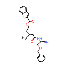 CC(CCOC(=O)c1cc2ccccc2s1)CC(=O)NC(C#N)COCc1ccccc1